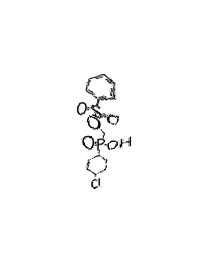 O=P(O)(COS(=O)(=O)c1ccccc1)C1CCC(Cl)CC1